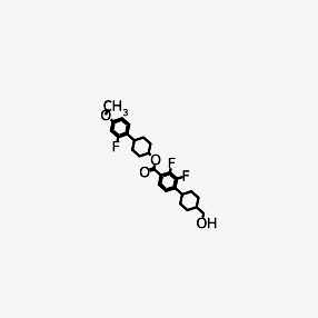 COc1ccc(C2CCC(OC(=O)c3ccc(C4CCC(CO)CC4)c(F)c3F)CC2)c(F)c1